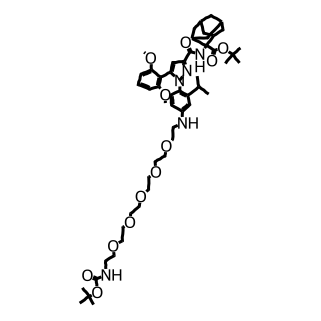 COc1cccc(OC)c1-c1cc(C(=O)NC2(C(=O)OC(C)(C)C)C3CC4CC(C3)CC2C4)nn1-c1ccc(NCCOCCOCCOCCOCCOCCNC(=O)OC(C)(C)C)cc1C(C)C